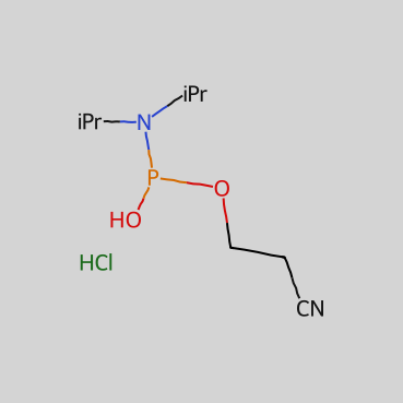 CC(C)N(C(C)C)P(O)OCCC#N.Cl